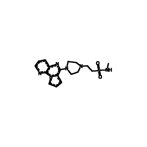 CNS(=O)(=O)CCN1CCN(c2nc3cccnc3n3cccc23)CC1